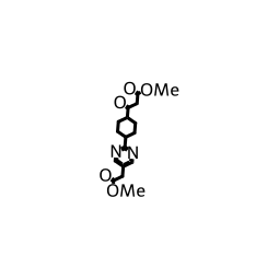 COC(=O)CC(=O)C1CCC(c2ncc(CC(=O)OC)cn2)CC1